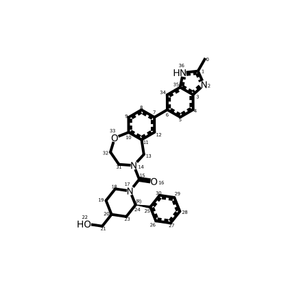 Cc1nc2ccc(-c3ccc4c(c3)CN(C(=O)N3CCC(CO)C[C@@H]3c3ccccc3)CCO4)cc2[nH]1